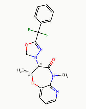 C[C@H]1Oc2cccnc2N(C)C(=O)[C@H]1N1COC(C(F)(F)c2ccccc2)=N1